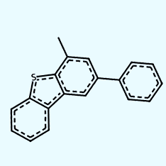 Cc1cc(-c2ccccc2)cc2c1sc1ccccc12